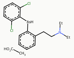 CC(=O)O.CCN(CC)CCc1ccccc1[AsH]c1c(Cl)cccc1Cl